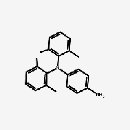 Cc1cccc(C)c1N(c1ccc(N)cc1)c1c(C)cccc1C